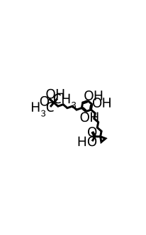 CC(C)(CCCCCc1cc(O)c(O)c(CCCCCC2(C(=O)O)CC2)c1O)C(=O)O